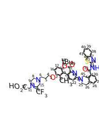 Cc1c(OCCCN2CCN(CC(=O)O)C(C(F)(F)F)C2)cccc1-c1ccc(N2CCc3cccc(C(=O)Nc4nc5ccccc5s4)c3C2)nc1C(=O)OC(C)(C)C